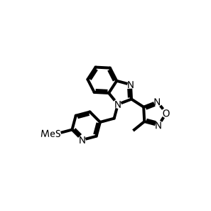 CSc1ccc(Cn2c(-c3nonc3C)nc3ccccc32)cn1